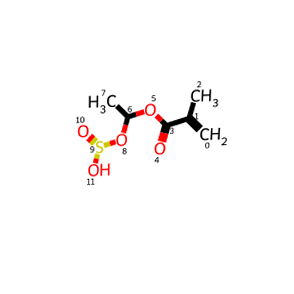 C=C(C)C(=O)OC(C)OS(=O)O